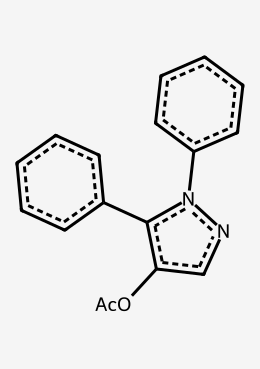 CC(=O)Oc1cnn(-c2ccccc2)c1-c1ccccc1